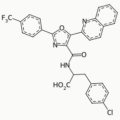 O=C(NC(Cc1ccc(Cl)cc1)C(=O)O)c1nc(-c2ccc(C(F)(F)F)cc2)oc1-c1ccc2ccccc2n1